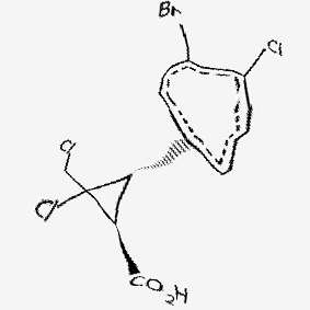 O=C(O)[C@@H]1[C@@H](c2ccc(Cl)c(Br)c2)C1(Cl)Cl